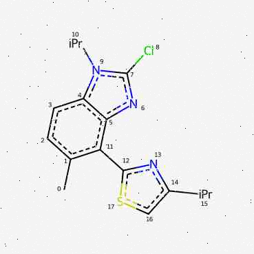 Cc1ccc2c(nc(Cl)n2C(C)C)c1-c1nc(C(C)C)cs1